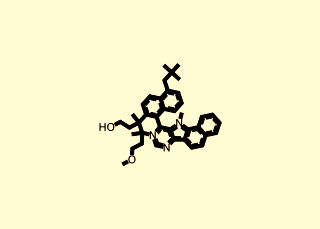 COCCC1(C)[n+]2cnc3c4ccc5ccccc5c4n(C)c3c2-c2c(ccc3c(CC(C)(C)C)cccc23)C1(C)CCO